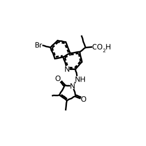 CC1=C(C)C(=O)N(Nc2cc(C(C)C(=O)O)c3ccc(Br)cc3n2)C1=O